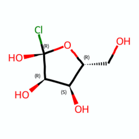 OC[C@H]1O[C@@](O)(Cl)[C@H](O)[C@@H]1O